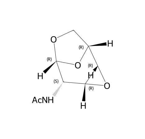 CC(=O)N[C@@H]1[C@@H]2OC[C@@H](O2)[C@@H]2O[C@H]12